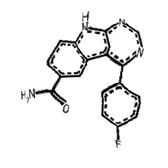 NC(=O)c1ccc2[nH]c3ncnc(-c4ccc(F)cc4)c3c2c1